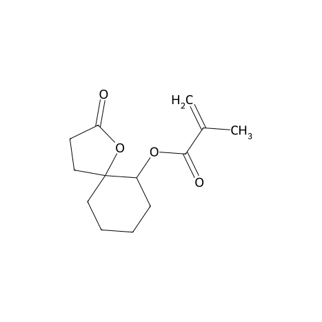 C=C(C)C(=O)OC1CCCCC12CCC(=O)O2